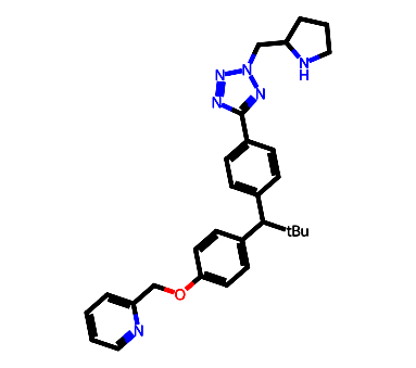 CC(C)(C)C(c1ccc(OCc2ccccn2)cc1)c1ccc(-c2nnn(CC3CCCN3)n2)cc1